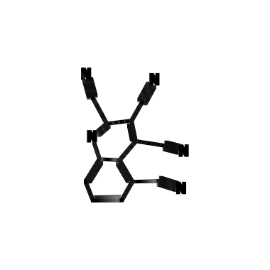 N#Cc1nc2cccc(C#N)c2c(C#N)c1C#N